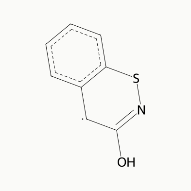 OC1=NSc2ccccc2[CH]1